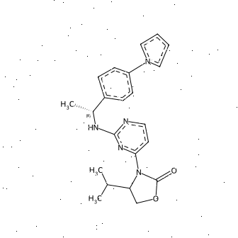 CC(C)C1COC(=O)N1c1ccnc(N[C@H](C)c2ccc(-n3cccc3)cc2)n1